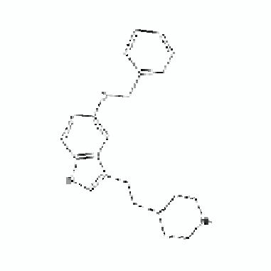 c1ccc(COc2ccc3[nH]cc(CCC4CCNCC4)c3c2)cc1